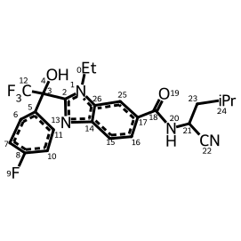 CCn1c(C(O)(c2ccc(F)cc2)C(F)(F)F)nc2ccc(C(=O)NC(C#N)CC(C)C)cc21